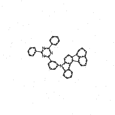 c1ccc(-c2nc(-c3ccccc3)nc(-c3cccc(-n4c5ccccc5c5c6c(ccc54)-c4cccc5cccc-6c45)c3)n2)cc1